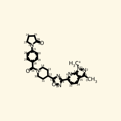 Cc1nn(C)c2nc(-c3noc(C4CCN(C(=O)c5ccc(N6CCCC6=O)cc5)CC4)n3)ccc12